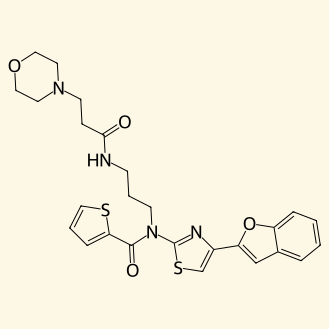 O=C(CCN1CCOCC1)NCCCN(C(=O)c1cccs1)c1nc(-c2cc3ccccc3o2)cs1